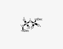 CCCCCCCCCCOS(=O)(=O)OS(=O)(=O)CCCCCCCCCC